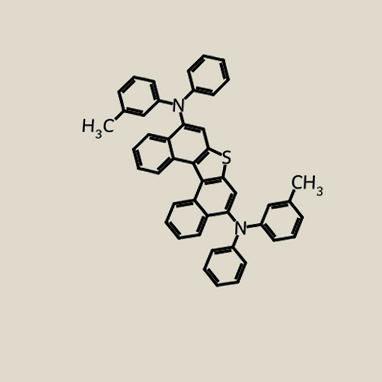 Cc1cccc(N(c2ccccc2)c2cc3sc4cc(N(c5ccccc5)c5cccc(C)c5)c5ccccc5c4c3c3ccccc23)c1